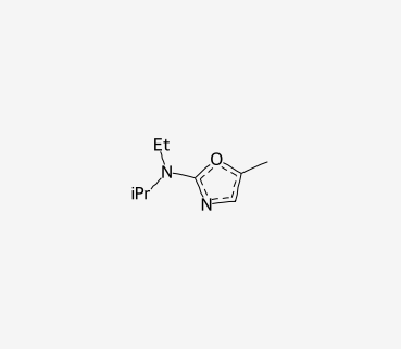 CCN(c1ncc(C)o1)C(C)C